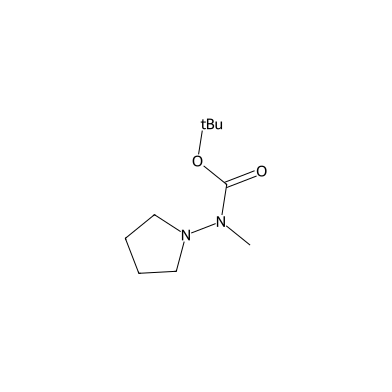 CN(C(=O)OC(C)(C)C)N1CCCC1